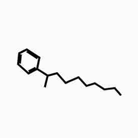 CCCCCCCC[C](C)c1ccccc1